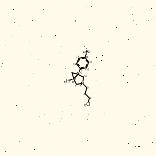 ClCCCN1C[C@@H]2C[C@]2(c2ccc(Br)cc2)C1